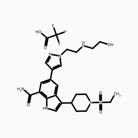 CCS(=O)(=O)N1CCC(c2c[nH]c3c(C(N)=O)cc(-c4cnn(CCNCCO)c4)cc23)CC1.O=C(O)C(F)(F)F